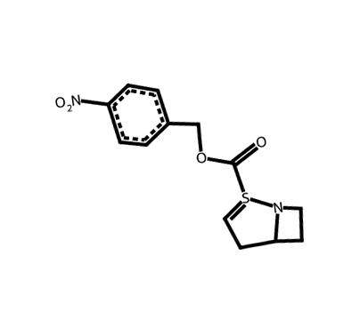 O=C(OCc1ccc([N+](=O)[O-])cc1)S1=CCC2CCN21